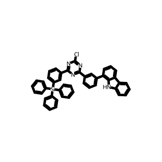 Clc1nc(-c2cccc(-c3cccc4c3[nH]c3ccccc34)c2)nc(-c2cccc([Si](c3ccccc3)(c3ccccc3)c3ccccc3)c2)n1